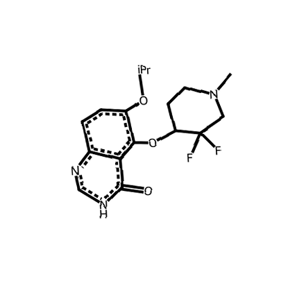 CC(C)Oc1ccc2nc[nH]c(=O)c2c1OC1CCN(C)CC1(F)F